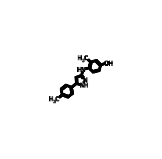 Cc1ccc(-c2cc(Nc3ccc(O)cc3C)n[nH]2)cc1